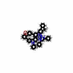 CC1(C)c2ccccc2-c2cc3c4cc(-c5ccc6oc7cccc(-c8ccc9c(c8)c8ccccc8n9-c8ccccc8)c7c6c5)ccc4n(-c4nc(-c5ccccc5)cc(-c5ccccc5)n4)c3cc21